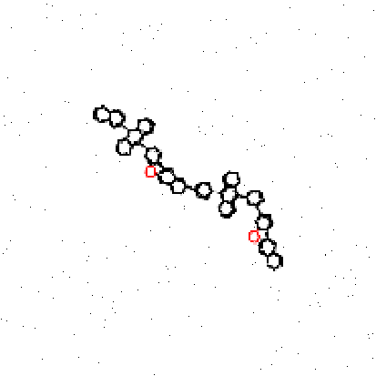 c1cc(-c2ccc3c(c2)oc2cc4ccccc4cc23)cc(-c2c3ccccc3c(-c3ccc(-c4ccc5cc6oc7cc(-c8c9ccccc9c(-c9ccc%10ccccc%10c9)c9ccccc89)ccc7c6cc5c4)cc3)c3ccccc23)c1